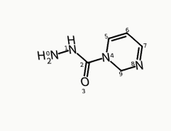 NNC(=O)N1C=CC=NC1